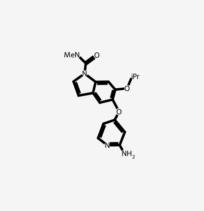 CNC(=O)n1ccc2cc(Oc3ccnc(N)c3)c(OC(C)C)cc21